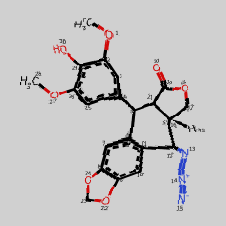 COc1cc(C2c3cc4c(cc3C(N=[N+]=[N-])[C@H]3COC(=O)C23)OCO4)cc(OC)c1O